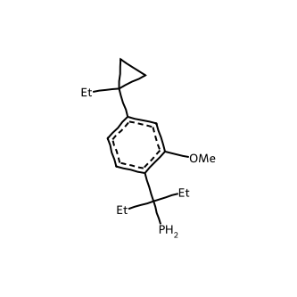 CCC(P)(CC)c1ccc(C2(CC)CC2)cc1OC